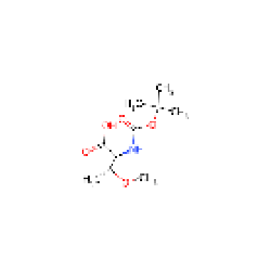 CO[C@H](C)[C@H](NC(=O)OC(C)(C)C)C(=O)O